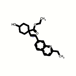 CCOC(=O)C1(/C=C/c2ccc3ccc(CC)nc3c2)CCC(O)CC1